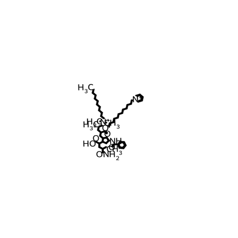 CCCCCCCCCCCC[N+](C)(C)CC(C)CC(CC1CC(NC(=O)c2ccccc2)CC1C(CC(CC)C(N)=O)C(=O)O)C(=O)OCCCCCCCCCCCC[n+]1ccccc1